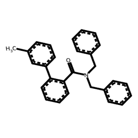 Cc1cccc(-c2ccccc2C(=O)N(Cc2ccccc2)Cc2ccccc2)c1